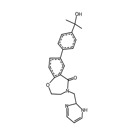 CC(C)(O)c1ccc(-c2ccc3c(c2)C(=O)N(CC2N=CC=CN2)CCO3)cc1